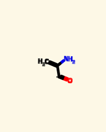 C=C(N)[C]=O